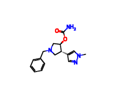 Cn1cc([C@@H]2CN(Cc3ccccc3)C[C@H]2OC(N)=O)cn1